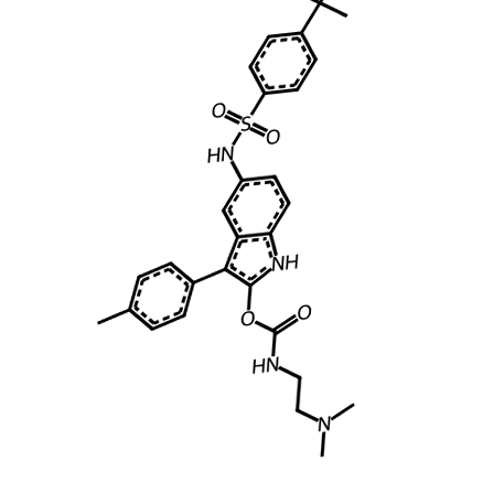 Cc1ccc(-c2c(OC(=O)NCCN(C)C)[nH]c3ccc(NS(=O)(=O)c4ccc(C(C)(C)C)cc4)cc23)cc1